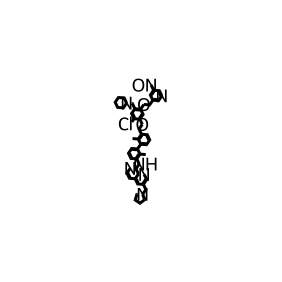 Cc1c(COc2cc(OCc3cncc(N=O)c3)c(CN3CCCCC3)cc2Cl)cccc1-c1cccc(Nc2nccc3cc(CN4CCCC4)cnc23)c1C